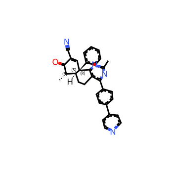 Cc1nc(-c2ccc(-c3ccncc3)cc2)c2c(n1)[C@@]1(c3ccccc3)C=C(C#N)C(=O)[C@@H](C)[C@@H]1CC2